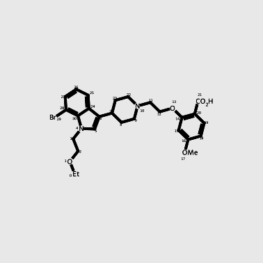 CCOCCn1cc(C2CCN(CCOc3cc(OC)ccc3C(=O)O)CC2)c2cccc(Br)c21